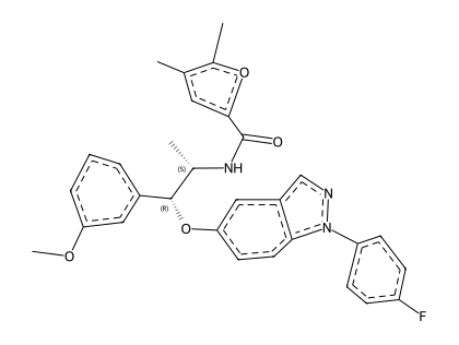 COc1cccc([C@@H](Oc2ccc3c(cnn3-c3ccc(F)cc3)c2)[C@H](C)NC(=O)c2cc(C)c(C)o2)c1